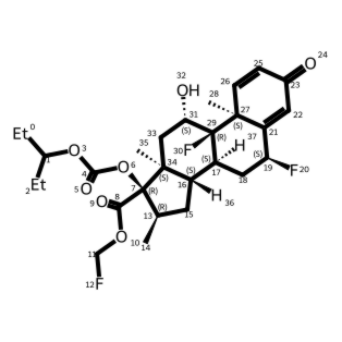 CCC(CC)OC(=O)O[C@]1(C(=O)OCF)[C@H](C)C[C@H]2[C@@H]3C[C@H](F)C4=CC(=O)C=C[C@]4(C)[C@@]3(F)[C@@H](O)C[C@@]21C